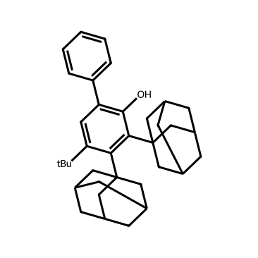 CC(C)(C)c1cc(-c2ccccc2)c(O)c(C23CC4CC(CC(C4)C2)C3)c1C12CC3CC(CC(C3)C1)C2